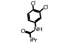 CC(C)C(=O)Nc1ccc(Cl)c(Cl)c1